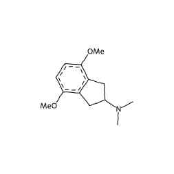 COc1ccc(OC)c2c1CC(N(C)C)C2